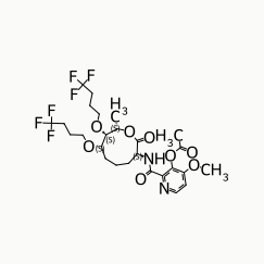 COc1ccnc(C(=O)N[C@H]2CCC[C@H](OCCCC(F)(F)F)[C@@H](OCCCC(F)(F)F)[C@H](C)OC2=O)c1OC(C)=O